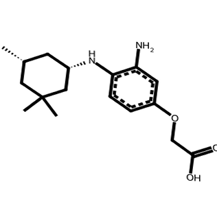 C[C@@H]1C[C@H](Nc2ccc(OCC(=O)O)cc2N)CC(C)(C)C1